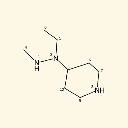 CCN(NC)C1CCNCC1